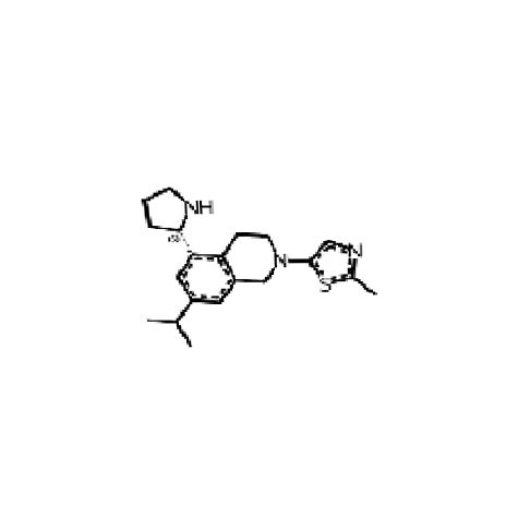 Cc1ncc(N2CCc3c(cc(C(C)C)cc3[C@@H]3CCCN3)C2)s1